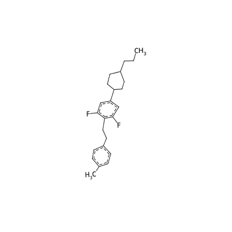 CCCC1CCC(c2cc(F)c(CCc3ccc(C)cc3)c(F)c2)CC1